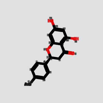 CC(=O)Oc1ccc([C@@H]2CC(=O)c3c(O)cc(O)cc3O2)cc1